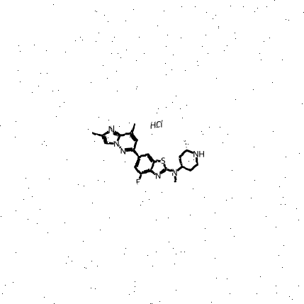 Cc1cn2nc(-c3cc(F)c4nc(N(C)C5CCN[C@@H](C)C5)sc4c3)cc(C)c2n1.Cl